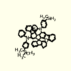 C[SiH2]c1ccc(N(c2ccccc2)c2cc3c(oc4ccccc43)c3c2-c2c(cc(N(c4ccccc4)c4ccc([Si](C)(C)C)cc4)c4c2sc2ccccc24)C32c3ccccc3-c3ccccc32)cc1